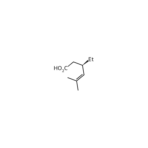 CC[C@@H](C=C(C)C)CC(=O)O